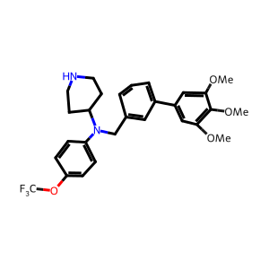 COc1cc(-c2cccc(CN(c3ccc(OC(F)(F)F)cc3)C3CCNCC3)c2)cc(OC)c1OC